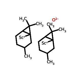 CC1CCC2C(C)(C)[C]2([Sc+])C1.CC1CCC2C(C)(C)[C]2([Sc+])C1.[O-2]